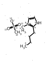 CCCCc1[nH]cc[n+]1C.CS(=O)(=O)[O-]